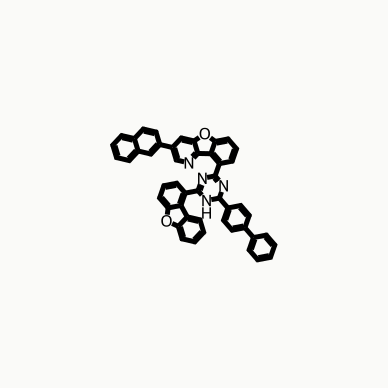 c1ccc(-c2ccc(C3N=C(c4cccc5oc6cc(-c7ccc8ccccc8c7)cnc6c45)N=C(c4cccc5oc6ccccc6c45)N3)cc2)cc1